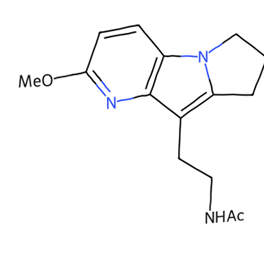 COc1ccc2c(n1)c(CCNC(C)=O)c1n2CCC1